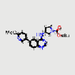 COc1ccc(-c2ccc3ncnc(N[C@H]4CCN(C(=O)OC(C)(C)C)C4)c3c2)cn1